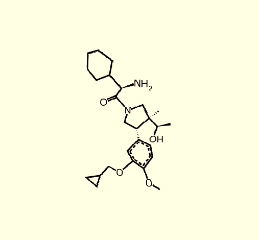 COc1ccc([C@@H]2CN(C(=O)[C@H](N)C3CCCCC3)C[C@@]2(C)[C@@H](C)O)cc1OCC1CC1